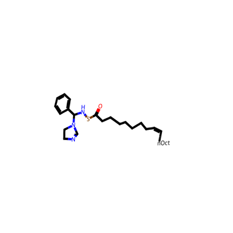 CCCCCCCC/C=C\CCCCCCCC(=O)SNC(c1ccccc1)N1C=NCC1